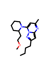 CCCCc1cc2nc(C)cc(N3CCCCC3CCOC)n2n1